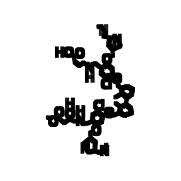 C/N=C\c1cncc(COc2cc(OCc3cccc(-c4cccc(COc5cc(OCc6cncc(/C=N/C)c6)c(CNC/C=C\C(=O)O)cc5Cl)c4C)c3C)c(Cl)cc2CNCC(O)CC(=O)OC)c1